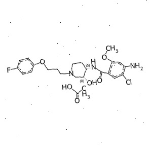 CC(=O)O.COc1cc(N)c(Cl)cc1C(=O)N[C@H]1CCN(CCCOc2ccc(F)cc2)C[C@H]1O